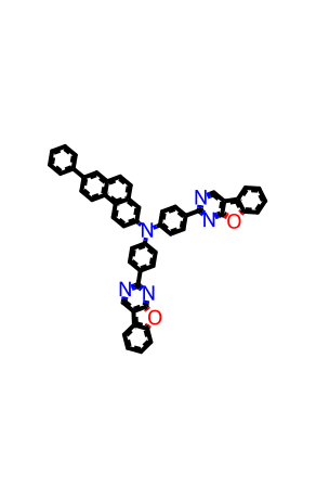 c1ccc(-c2ccc3c(ccc4cc(N(c5ccc(-c6ncc7c(n6)oc6ccccc67)cc5)c5ccc(-c6ncc7c(n6)oc6ccccc67)cc5)ccc43)c2)cc1